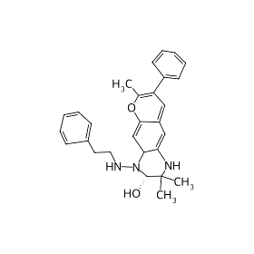 CC1=C(c2ccccc2)C=C2C=C3NC(C)(C)[C@H](O)N(NCCc4ccccc4)C3C=C2O1